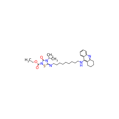 CCOC(=O)n1sc(=NCCCCCCCCCNc2c3c(nc4ccccc24)CCCC3)n(C(C)C)c1=O